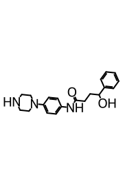 O=C(CCC(O)c1ccccc1)Nc1ccc(N2CCNCC2)cc1